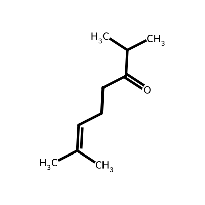 CC(C)=CCCC(=O)C(C)C